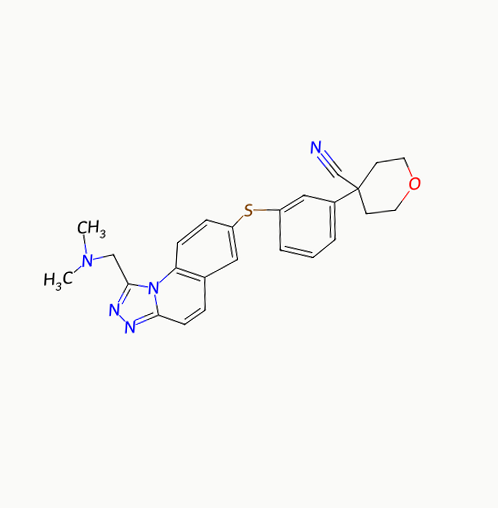 CN(C)Cc1nnc2ccc3cc(Sc4cccc(C5(C#N)CCOCC5)c4)ccc3n12